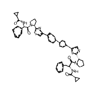 O=C(N[C@@H](C(=O)N1CCC[C@H]1c1nc(-c2ccc(-c3ccc(-c4cnc([C@@H]5CCCN5C(=O)[C@H](NC(=O)C5CC5)c5ccccc5)s4)cc3)cc2)cs1)c1ccccc1)C1CC1